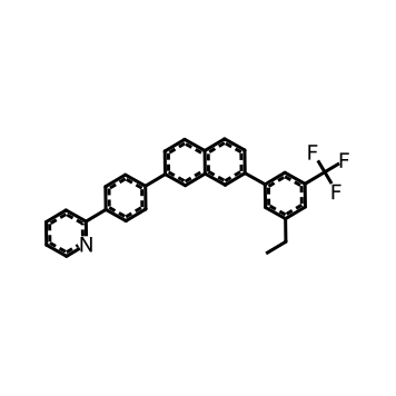 CCc1cc(-c2ccc3ccc(-c4ccc(-c5ccccn5)cc4)cc3c2)cc(C(F)(F)F)c1